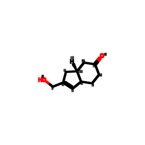 O=C1CCC2C=C(CO)C[C@@H]2C1